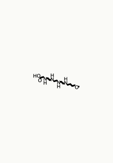 COCCCCNCCNCCNCCNCC(=O)O